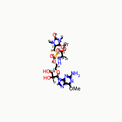 COc1nc(N)nc2c1ncn2[C@H](OCCO[P@](=O)(N[C@H](C)C(=O)OC(C)C)SCC1C(=O)N(C)C(=O)N1C)[C@](C)(O)CO